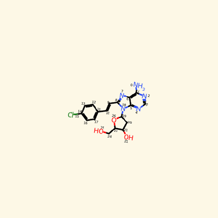 Nc1ncnc2c1nc(/C=C/c1ccc(Cl)cc1)n2C1CC(O)C(CO)O1